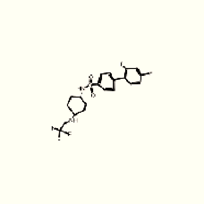 O=S(=O)(N[C@H]1CC[C@H](NCC(F)(F)F)CC1)c1ccc(-c2ccc(F)cc2F)cc1